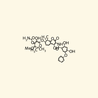 CO[C@@H]1[C@@H](OC(N)=O)[C@@H](O)[C@H](Oc2ccc3c(O)c(NC(=O)c4cc(Oc5ccccc5)c(O)cc4O)c(=O)oc3c2C)OC1(C)C